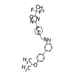 CC(C)Oc1ccc(-c2cccc(NCC34CCC(c5noc(C(C)(F)F)n5)(CC3)CC4)c2)cc1